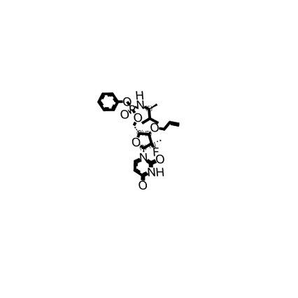 C=CCO[C@@H]1[C@@H](COP(=O)(N[C@@H](C)C(C)C)Oc2ccccc2)O[C@@H](n2ccc(=O)[nH]c2=O)[C@]1(C)F